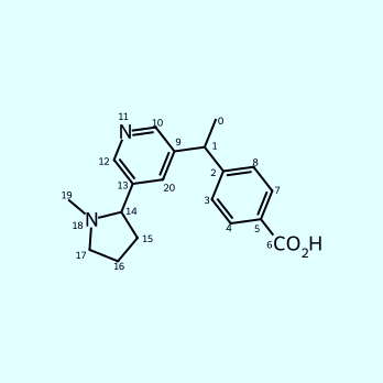 CC(c1ccc(C(=O)O)cc1)c1cncc(C2CCCN2C)c1